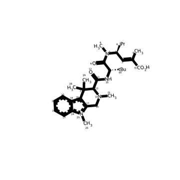 C/C(=C\[C@H](C(C)C)N(C)C(=O)[C@@H](NC(=O)C1N(C)Cc2c(c3ccccc3n2C)C1(C)C)C(C)(C)C)C(=O)O